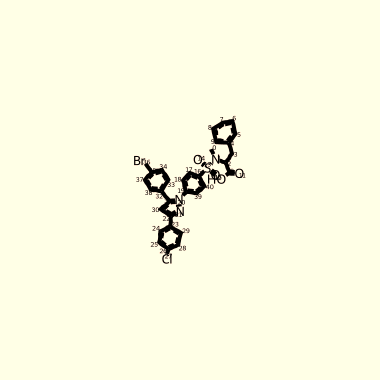 CN(C(Cc1ccccc1)C(=O)O)S(=O)(=O)c1ccc(-n2nc(-c3ccc(Cl)cc3)cc2-c2ccc(Br)cc2)cc1